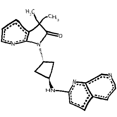 CC1(C)C(=O)N([C@H]2C[C@H](Nc3ccc4ccncc4n3)C2)c2ncccc21